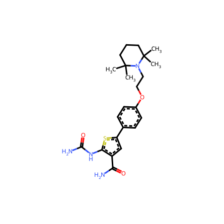 CC1(C)CCCC(C)(C)N1CCOc1ccc(-c2cc(C(N)=O)c(NC(N)=O)s2)cc1